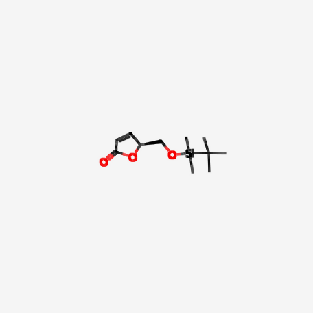 CC(C)(C)[Si](C)(C)OC[C@@H]1C=CC(=O)O1